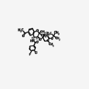 CC(=O)c1ccc2c(c1)[C@@H](NC(=O)c1ccc(F)c(Cl)c1)[C@H](OC(=O)CN(C)C(=O)OC(C)(C)C)C(C)(C)O2